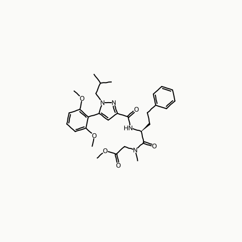 COC(=O)CN(C)C(=O)[C@H](CCc1ccccc1)NC(=O)c1cc(-c2c(OC)cccc2OC)n(CC(C)C)n1